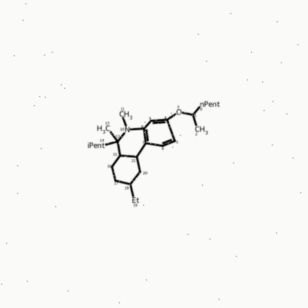 CCCCCC(C)Oc1ccc2c(c1)N(C)C(C)(C(C)CCC)C1CCC(CC)CC21